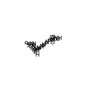 COc1ncc(-c2ccnc(N3CCc4c(sc5c4CCCC5)C3=O)c2CO)cc1Nc1ccc(N2CCN(C3CCN(c4ccc5c(c4)C(=O)N(C4CCC(=O)NC4=O)C5=O)CC3)C[C@@H]2C)cn1